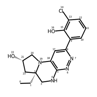 CC[C@@]12CNc3nnc(-c4cccc(Cl)c4O)cc3N1C[C@@H](O)C2